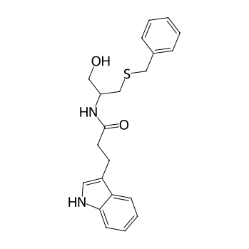 O=C(CCc1c[nH]c2ccccc12)NC(CO)CSCc1ccccc1